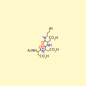 CC(=O)NC(CC(=O)O)C(=O)NC(CC(=O)O)C(=O)NC(CC(=O)O)C(=O)N(C)CCCC(C)C